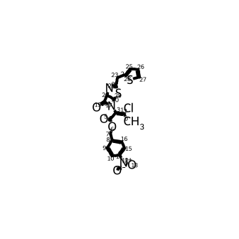 CC(Cl)=C(C(=O)OCc1ccc([N+](=O)[O-])cc1)N1C(=O)C2N=C(Cc3cccs3)SC21